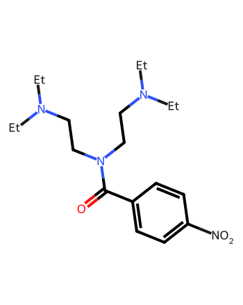 CCN(CC)CCN(CCN(CC)CC)C(=O)c1ccc([N+](=O)[O-])cc1